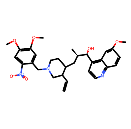 C=CC1CN(Cc2cc(OC)c(OC)cc2[N+](=O)[O-])CCC1C[C@@H](C)[C@@H](O)c1ccnc2ccc(OC)cc12